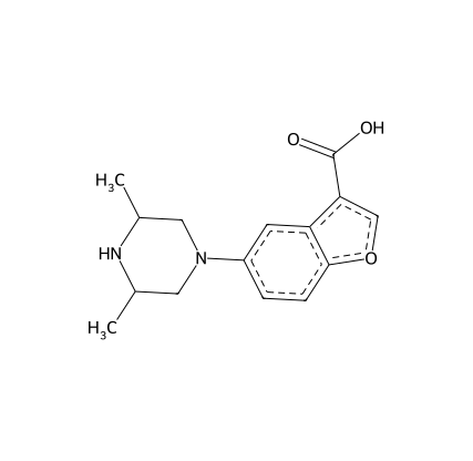 CC1CN(c2ccc3occ(C(=O)O)c3c2)CC(C)N1